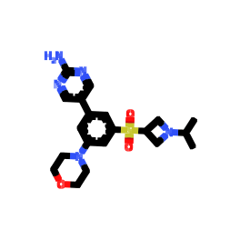 CC(C)N1CC(S(=O)(=O)c2cc(-c3cnc(N)nc3)cc(N3CCOCC3)c2)C1